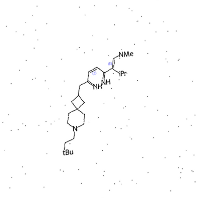 CN/C=C(/C(=N)/C=C\C(=N)CC1CC2(CCN(CCC(C)(C)C)CC2)C1)C(C)C